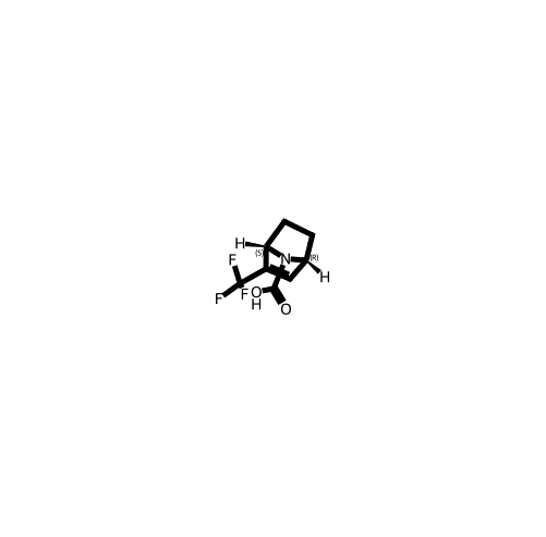 O=C(O)N1[C@H]2C=C(C(F)(F)F)[C@@H]1CC2